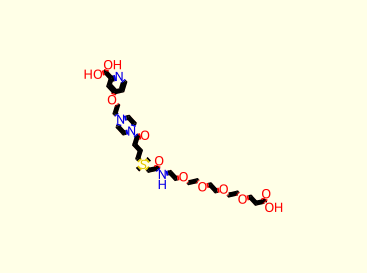 CS(C)(CCCC(=O)N1CCN(CCOc2ccnc(C(O)O)c2)CC1)CC(=O)NCCOCCOCCOCCOCCC(=O)O